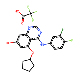 O=C(O)C(F)(F)F.Oc1cc(OC2CCCC2)c2c(Nc3ccc(F)c(Cl)c3)ncnc2c1